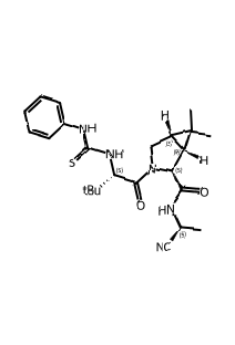 C[C@@H](C#N)NC(=O)[C@@H]1[C@@H]2[C@H](CN1C(=O)[C@@H](NC(=S)Nc1ccccc1)C(C)(C)C)C2(C)C